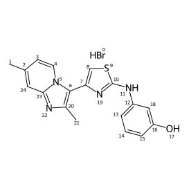 Br.Cc1ccn2c(-c3csc(Nc4cccc(O)c4)n3)c(C)nc2c1